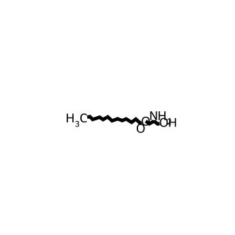 CCCCCCCCCCCCC(=O)OCC(N)CO